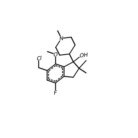 COc1c(CCl)cc(F)c2c1C(O)(C1CCN(C)CC1)C(C)(C)C2